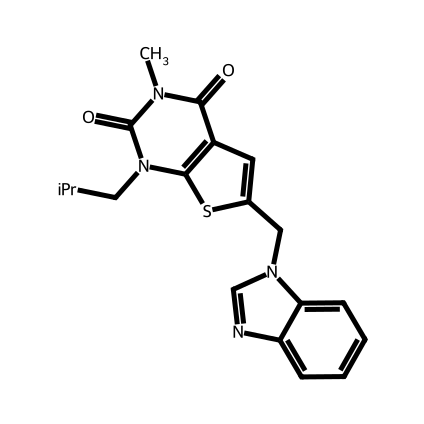 CC(C)Cn1c(=O)n(C)c(=O)c2cc(Cn3cnc4ccccc43)sc21